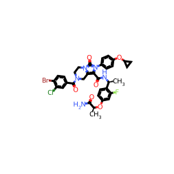 C[C@H](Oc1ccc([C@H](C)NC(=O)c2c3n(c(=O)n2-c2ccc(OC4CC4)cc2)CCN(C(=O)c2ccc(Br)c(Cl)c2)C3)c(F)c1)C(N)=O